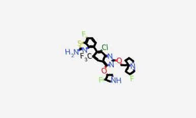 Nc1nc2c(-c3c(C(F)(F)F)cc4c(OC5CNCC5F)nc(OCC56CCCN5CC(F)C6)nc4c3Cl)ccc(F)c2s1